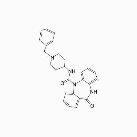 O=C1Nc2ccccc2N(C(=O)NC2CCN(Cc3ccccc3)CC2)c2ccccc21